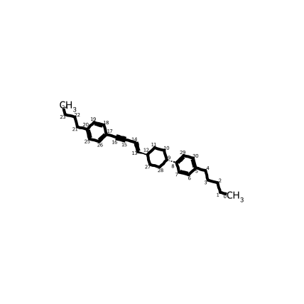 CCCCCc1ccc([C@H]2CC[C@H](/C=C/C#Cc3ccc(CCCC)cc3)CC2)cc1